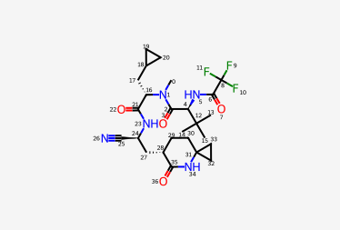 CN(C(=O)[C@@H](NC(=O)C(F)(F)F)C(C)(C)C)[C@@H](CC1CC1)C(=O)N[C@H](C#N)C[C@@H]1CCC2(CC2)NC1=O